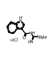 CNC(=N)NC(=O)c1c[nH]c2ccccc12.Cl